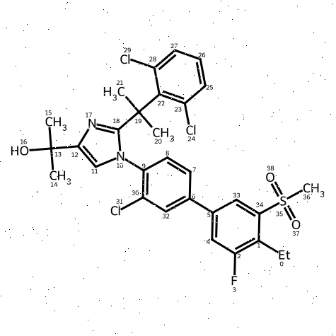 CCc1c(F)cc(-c2ccc(-n3cc(C(C)(C)O)nc3C(C)(C)c3c(Cl)cccc3Cl)c(Cl)c2)cc1S(C)(=O)=O